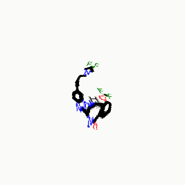 CN1C(=O)c2cccc(OC(F)F)c2[C@H]2CC1c1nc3ccc(C#CCCN4CC(F)(F)C4)cc3n12